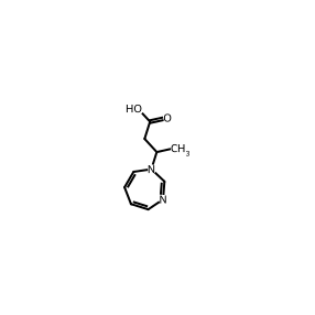 CC(CC(=O)O)N1C=CC=CN=C1